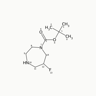 CC(C)(C)OC(=O)N1CCNCC(F)C1